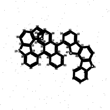 c1ccc2c(c1)oc1ccc3c4cccc(-c5c6ccccc6c(-c6cccc7sc8ccc9ccoc9c8c67)c6ccccc56)c4oc3c12